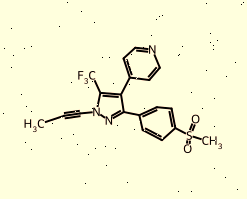 CC#Cn1nc(-c2ccc(S(C)(=O)=O)cc2)c(-c2ccncc2)c1C(F)(F)F